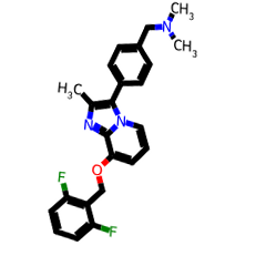 Cc1nc2c(OCc3c(F)cccc3F)cccn2c1-c1ccc(CN(C)C)cc1